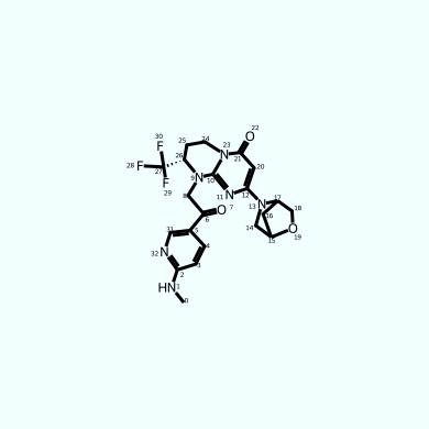 CNc1ccc(C(=O)CN2c3nc(N4CC5CC4CO5)cc(=O)n3CC[C@H]2C(F)(F)F)cn1